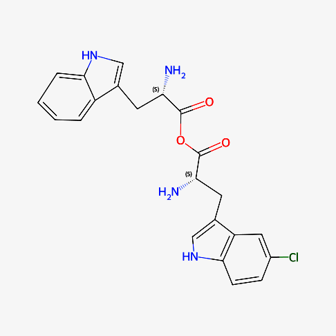 N[C@@H](Cc1c[nH]c2ccccc12)C(=O)OC(=O)[C@@H](N)Cc1c[nH]c2ccc(Cl)cc12